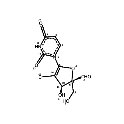 O=C[C@]1(CO)OC(n2ccc(=O)[nH]c2=O)=C(Cl)[C@@H]1O